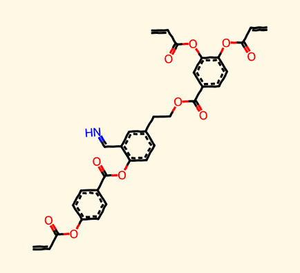 C=CC(=O)Oc1ccc(C(=O)Oc2ccc(CCOC(=O)c3ccc(OC(=O)C=C)c(OC(=O)C=C)c3)cc2C=N)cc1